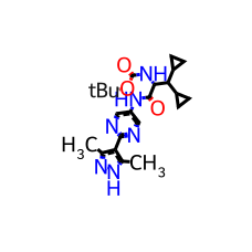 Cc1n[nH]c(C)c1-c1ncc(NC(=O)C(NC(=O)OC(C)(C)C)C(C2CC2)C2CC2)cn1